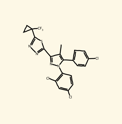 Cc1c(-c2nnc(C3(C(F)(F)F)CC3)s2)nn(-c2ccc(Cl)cc2Cl)c1-c1ccc(Cl)cc1